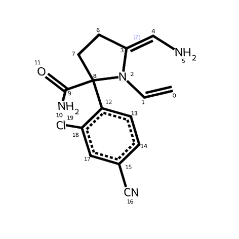 C=CN1/C(=C\N)CCC1(C(N)=O)c1ccc(C#N)cc1Cl